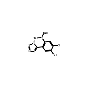 CCCCN(CCCC)c1cc(Cl)c(S)cc1-c1nnn[nH]1